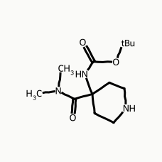 CN(C)C(=O)C1(NC(=O)OC(C)(C)C)CCNCC1